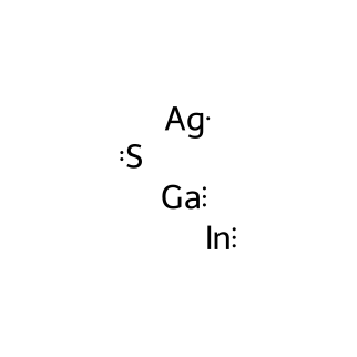 [Ag].[Ga].[In].[S]